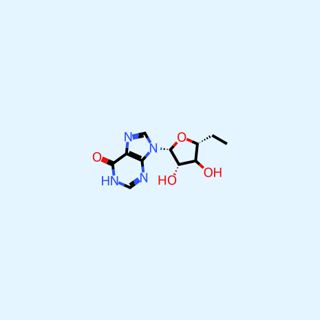 CC[C@H]1O[C@@H](n2cnc3c(=O)[nH]cnc32)[C@@H](O)C1O